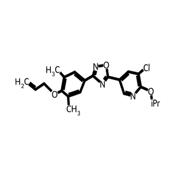 C=CCOc1c(C)cc(-c2noc(-c3cnc(OC(C)C)c(Cl)c3)n2)cc1C